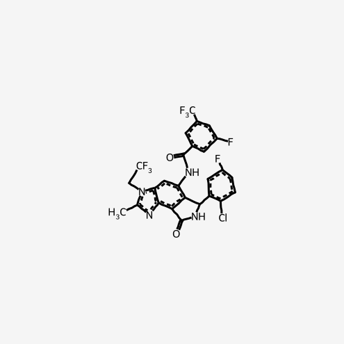 Cc1nc2c3c(c(NC(=O)c4cc(F)cc(C(F)(F)F)c4)cc2n1CC(F)(F)F)C(c1cc(F)ccc1Cl)NC3=O